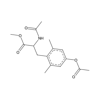 COC(=O)C(Cc1c(C)cc(OC(C)=O)cc1C)NC(C)=O